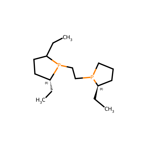 CCC1CC[C@@H](CC)P1CCP1CCC[C@H]1CC